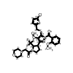 COc1ccccc1C(=O)n1nc(C2CCN(C(=O)CN3CCOCC3)C2C(F)(F)F)c(OC)c1SCc1ccc(Cl)s1